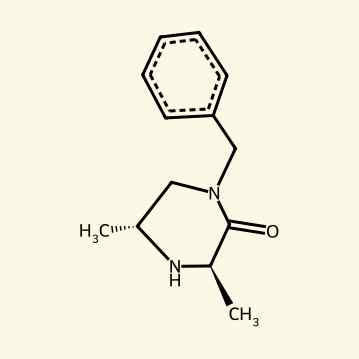 C[C@@H]1CN(Cc2ccccc2)C(=O)[C@@H](C)N1